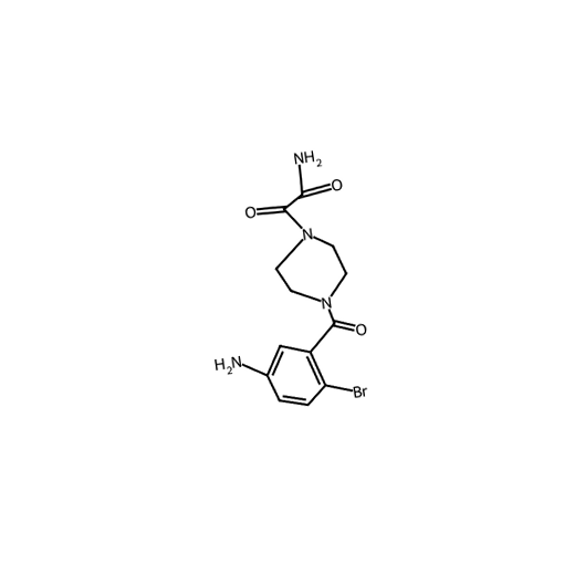 NC(=O)C(=O)N1CCN(C(=O)c2cc(N)ccc2Br)CC1